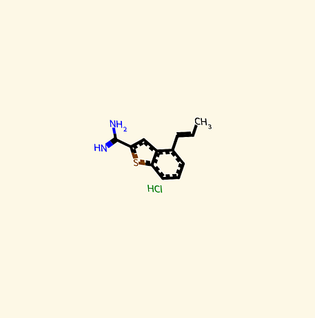 C/C=C/c1cccc2sc(C(=N)N)cc12.Cl